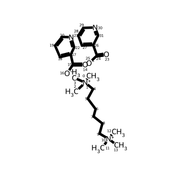 C[N+](C)(C)CCCCCC[N+](C)(C)C.O=C([O-])c1cccnc1.O=C([O-])c1cccnc1